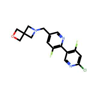 Fc1cc(Cl)ncc1-c1ncc(CN2CC3(COC3)C2)cc1F